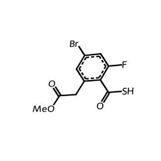 COC(=O)Cc1cc(Br)cc(F)c1C(=O)S